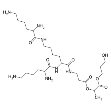 CC(OC(=O)CCNC(=O)C(CCCCNC(=O)C(N)CCCCN)NC(=O)C(N)CCCCN)C(=O)OCCCO